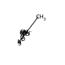 CCCCCCCCCCCCCCCCCCNC(=O)OC[C@@H](COC(=O)CCC[n+]1ccsc1)OC(=O)OC.[I-]